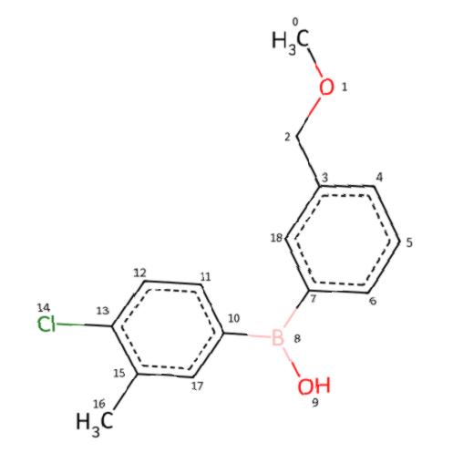 COCc1cccc(B(O)c2ccc(Cl)c(C)c2)c1